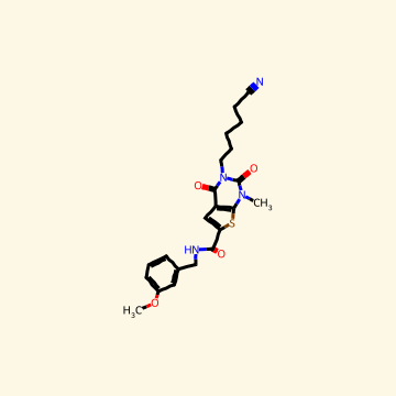 COc1cccc(CNC(=O)c2cc3c(=O)n(CCCCCC#N)c(=O)n(C)c3s2)c1